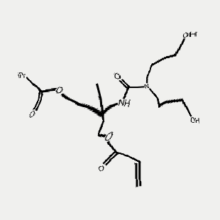 C=CC(=O)OCC(C)(COC(=O)C(C)C)NC(=O)N(CCO)CCO